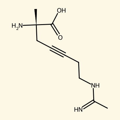 CC(=N)NCCC#CC[C@](C)(N)C(=O)O